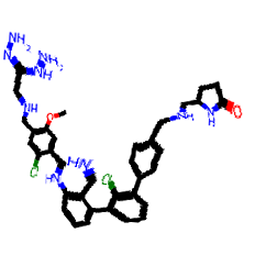 COc1cc(CNc2cccc(-c3cccc(-c4ccc(CNCC5CCC(=O)N5)cc4)c3Cl)c2C=N)c(Cl)cc1CNC/C(=N/N)NN